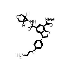 CNC(=O)c1cc(C(=O)N[C@H]2[C@@H]3COC[C@@H]32)cc2c1OC[C@H]2c1ccc(OCCN)cc1